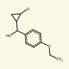 CCOc1ccc(C(O)C2CC2Cl)cc1